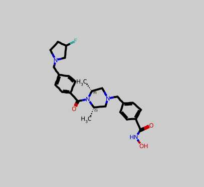 C[C@@H]1CN(Cc2ccc(C(=O)NO)cc2)C[C@H](C)N1C(=O)c1ccc(CN2CCC(F)C2)cc1